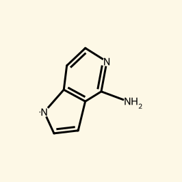 Nc1nccc2c1C=C[N]2